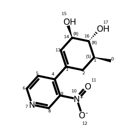 C[C@H]1CC(c2ccncc2[N+](=O)[O-])=C[C@@H](O)[C@@H]1O